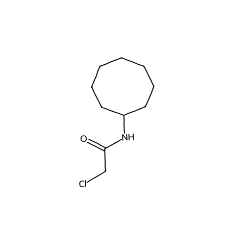 O=C(CCl)NC1CCCCCCC1